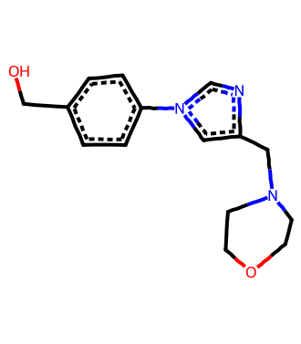 OCc1ccc(-n2cnc(CN3CCOCC3)c2)cc1